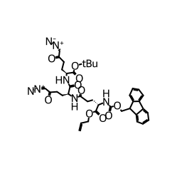 C=CCOC(=O)[C@H](CCC(=O)N[C@@H](CCC(=O)C=[N+]=[N-])C(=O)N[C@@H](CCC(=O)C=[N+]=[N-])C(=O)OC(C)(C)C)NC(=O)OCC1c2ccccc2-c2ccccc21